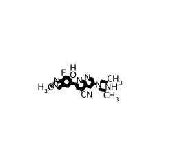 C[C@H]1CN(c2cnc3nc(-c4cc5cn(C)nc5c(F)c4O)cc(C#N)c3c2)C[C@H](C)N1